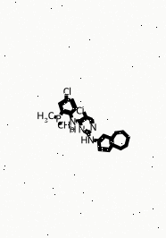 CP(C)c1cc(Cl)ccc1Nc1nc(Nc2ccc3c(c2)CCCCC3)ncc1Cl